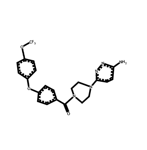 Nc1ccc(N2CCN(C(=O)c3ccc(Oc4ccc(OC(F)(F)F)cc4)cc3)CC2)nn1